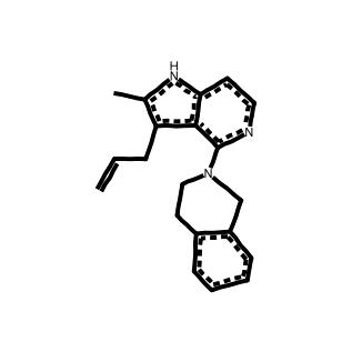 C=CCc1c(C)[nH]c2ccnc(N3CCc4ccccc4C3)c12